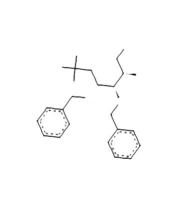 OC[C@@H](O)[C@@H](OCc1ccccc1)[C@H](OCc1ccccc1)[C@@H](O)C(O)(F)F